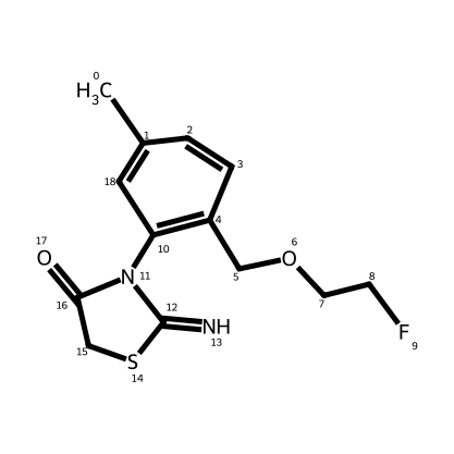 Cc1ccc(COCCF)c(N2C(=N)SCC2=O)c1